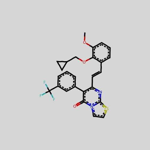 COc1cccc(/C=C/c2nc3sccn3c(=O)c2-c2cccc(C(F)(F)F)c2)c1OCC1CC1